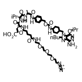 CCCCc1nc2c(N)nnc(OC(C)C)c2n1CC1CCC(NC(=O)OCc2ccc(NC(=O)[C@H](C)NC(=O)[C@@H](NC(=O)[C@H](CCC(=O)O)NC(=O)CCCC(=O)NCCOCCOCCOCCN=[N+]=[N-])C(C)C)cc2)CC1